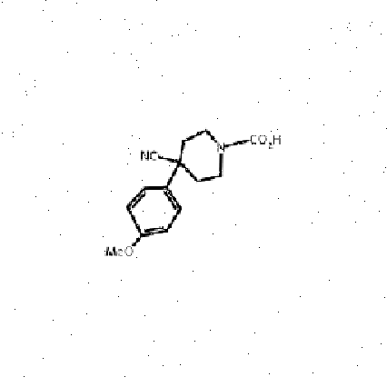 COc1ccc(C2(C#N)CCN(C(=O)O)CC2)cc1